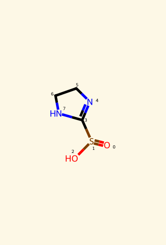 O=S(O)C1=NCCN1